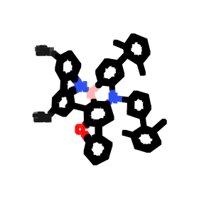 Cc1cccc(C)c1-c1cccc(N2c3cc(-c4c(C)cccc4C)ccc3B3c4c2cc2c(oc5ccccc52)c4-c2cc(C(C)(C)C)cc4c5cc(C(C)(C)C)ccc5n3c24)c1